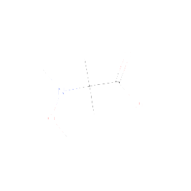 CON(C)C(C)(C)C(=O)O